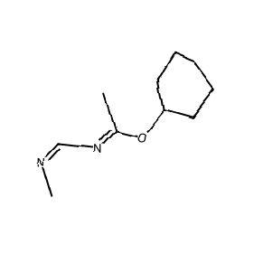 C/N=C\N=C(/C)OC1CCCCC1